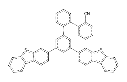 N#Cc1ccccc1-c1ccccc1-c1cc(-c2ccc3c(c2)sc2ccccc23)cc(-c2ccc3c(c2)sc2ccccc23)c1